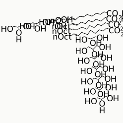 CCCCCCCCC=CCCCCCCCC(=O)O.CCCCCCCCC=CCCCCCCCC(=O)O.CCCCCCCCC=CCCCCCCCC(=O)O.CCCCCCCCC=CCCCCCCCC(=O)O.OCC(O)CO.OCC(O)CO.OCC(O)CO.OCC(O)CO.OCC(O)CO.OCC(O)CO.OCC(O)CO.OCC(O)CO.OCC(O)CO.OCC(O)CO